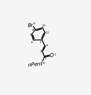 CCCCCC(=O)/C=C/c1ccc(Br)cc1